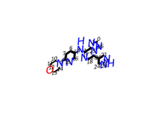 c1nc2c(Nc3ccc(N4CCOCC4)nc3)ncc(-c3cn[nH]c3)n2n1